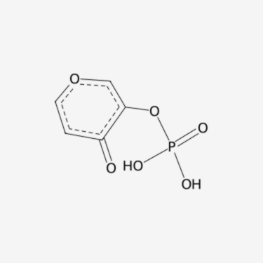 O=c1ccocc1OP(=O)(O)O